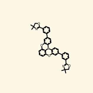 CC1(C)COC(c2cccc(-c3ccc4c(c3)Oc3cccc5c3B4c3ccc(-c4cccc(C6=NC(C)(C)CO6)c4)cc3O5)c2)=N1